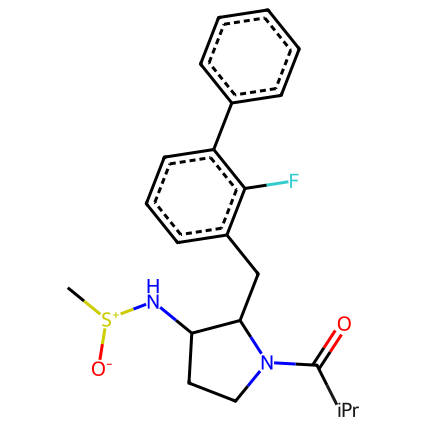 CC(C)C(=O)N1CCC(N[S+](C)[O-])C1Cc1cccc(-c2ccccc2)c1F